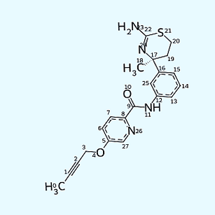 CC#CCOc1ccc(C(=O)Nc2cccc([C@]3(C)CCSC(N)=N3)c2)nc1